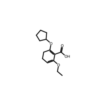 CCOC1=CCCC(OC2CCCC2)=C1C(=O)O